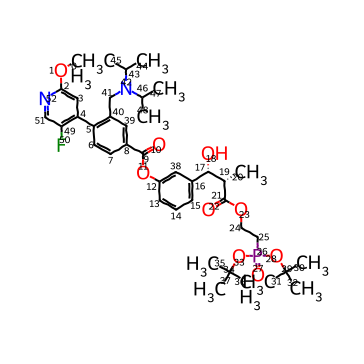 COc1cc(-c2ccc(C(=O)Oc3cccc([C@H](O)[C@H](C)C(=O)OCCP(=O)(OC(C)(C)C)OC(C)(C)C)c3)cc2CN(C(C)C)C(C)C)c(F)cn1